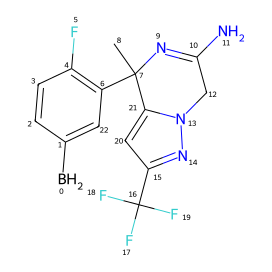 Bc1ccc(F)c(C2(C)N=C(N)Cn3nc(C(F)(F)F)cc32)c1